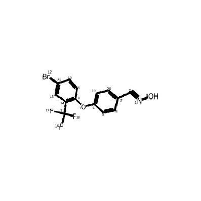 O/N=C/c1ccc(Oc2ccc(Br)cc2C(F)(F)F)cc1